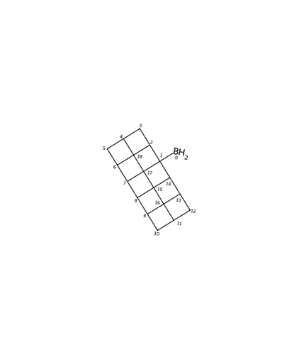 BC12C3CC4CC5C6C7C8CC9CC%10C1C7(C98%10)C62C453